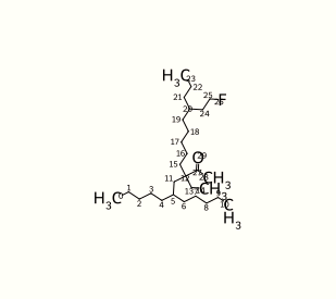 CCCCCC(CCCCC)CC(CC)(CCCCCC(CCC)CCF)C(C)=O